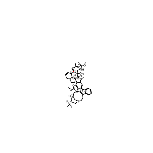 CC[C@]12C=CCN3CC[C@@]4(c5cc([C@@]6(C(=O)OC)C[C@@H]7C[C@@H](C(C)(F)F)CN(CCc8c6[nH]c6ccccc86)C7)c(OC)cc5N(C)[C@H]4C(O)(CNC(=O)OC)[C@@H]1OC(C)=O)[C@@H]32